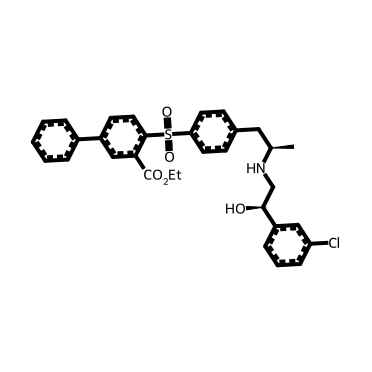 CCOC(=O)c1cc(-c2ccccc2)ccc1S(=O)(=O)c1ccc(C[C@@H](C)NC[C@H](O)c2cccc(Cl)c2)cc1